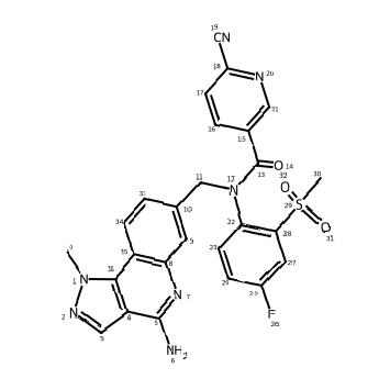 Cn1ncc2c(N)nc3cc(CN(C(=O)c4ccc(C#N)nc4)c4ccc(F)cc4S(C)(=O)=O)ccc3c21